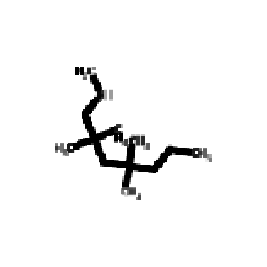 CBCC(C)(C)CC(C)(C)CCC